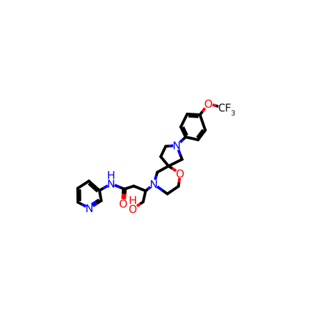 O=C(CC(CO)N1CCOC2(CCN(c3ccc(OC(F)(F)F)cc3)C2)C1)Nc1cccnc1